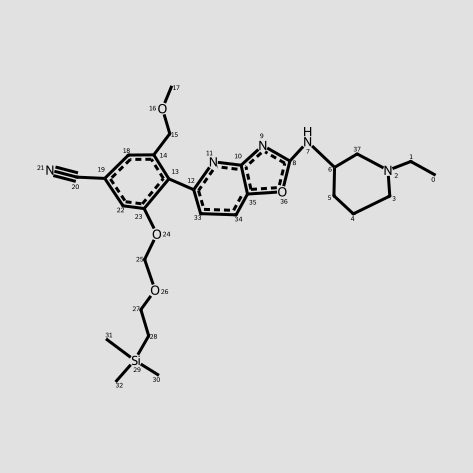 CCN1CCCC(Nc2nc3nc(-c4c(COC)cc(C#N)cc4OCOCC[Si](C)(C)C)ccc3o2)C1